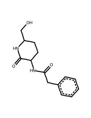 O=C(Cc1ccccc1)NC1CCC(CO)NC1=O